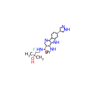 CC(C)Nc1c(C(=O)NCC(F)C(C)(C)O)cnc2c1[nH]c1cc(-c3cn[nH]c3)ccc12